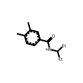 CCC(CC)NC(=O)c1ccc(C)c(C)c1